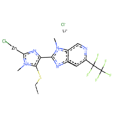 CCSc1c(-c2nc3cc(C(F)(F)C(F)(F)F)ncc3n2C)n[c]([Zn][Cl])n1C.[Cl-].[Li+]